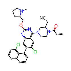 C=CC(=O)N1CCN(c2nc(OCC3CCCN3C)nc3cc(-c4cccc5cccc(Cl)c45)c(Cl)cc23)CC1CC#N